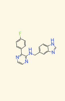 Fc1ccc(-c2nccnc2NCc2ccc3[nH]cnc3c2)cc1